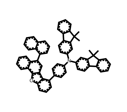 CC1(C)c2ccccc2-c2ccc(N(c3ccc(-c4cccc5oc6c7ccccc7c(-c7cccc8ccccc78)cc6c45)cc3)c3ccc4c(c3)C(C)(C)c3ccccc3-4)cc21